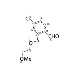 COCCOCc1cc(Cl)ccc1C=O